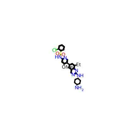 CCc1cc(-c2cnc(NS(=O)(=O)c3ccccc3Cl)cc2OC)cc2cnc(N[C@H]3CC[C@H](N)CC3)nc12